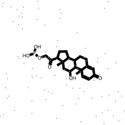 CC12C=CC(=O)C=C1CCC1C2C(O)CC2(C)C(C(=O)COP(O)O)CCC12